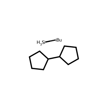 C1CCC(C2CCCC2)C1.CCC(C)[SiH3]